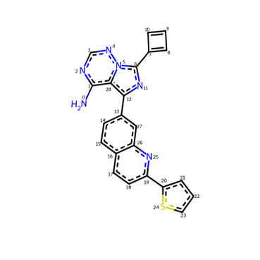 Nc1ncnn2c(C3=CC=C3)nc(-c3ccc4ccc(-c5cccs5)nc4c3)c12